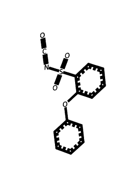 O=C=NS(=O)(=O)c1ccccc1Oc1ccccc1